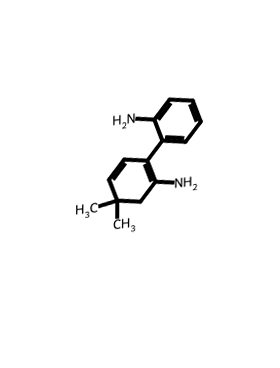 CC1(C)C=CC(c2ccccc2N)=C(N)C1